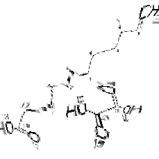 CCCCCCCCCCCC(=O)O.O=C(O)C(=O)O